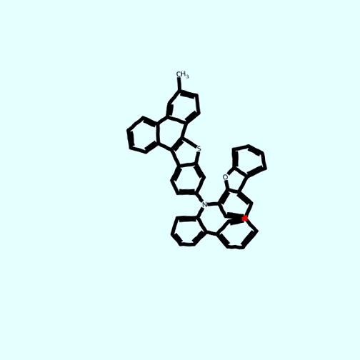 Cc1ccc2c(c1)c1ccccc1c1c3ccc(N(c4ccccc4-c4ccccc4)c4cccc5c4oc4ccccc45)cc3sc21